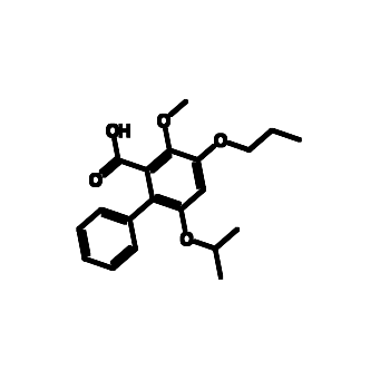 CCCOc1cc(OC(C)C)c(-c2ccccc2)c(C(=O)O)c1OC